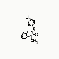 CN(C(=O)NSc1ccc(Cl)cc1)c1ccccc1